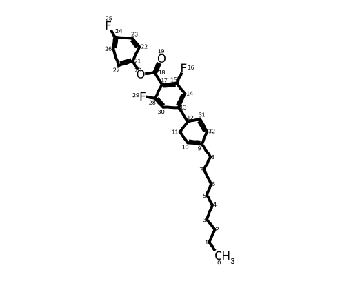 CCCCCCCCCC1=CCC(c2cc(F)c(C(=O)Oc3ccc(F)cc3)c(F)c2)C=C1